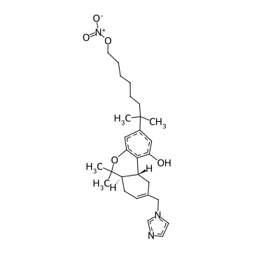 CC(C)(CCCCCCO[N+](=O)[O-])c1cc(O)c2c(c1)OC(C)(C)[C@@H]1CC=C(Cn3ccnc3)C[C@@H]21